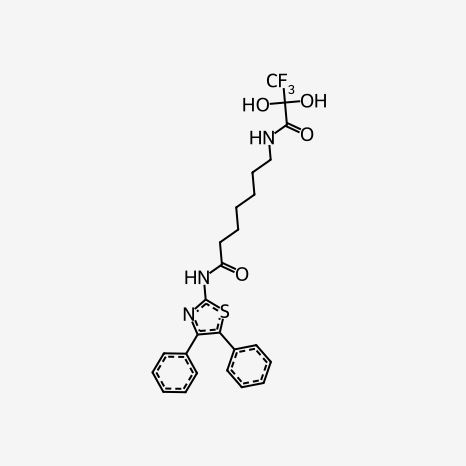 O=C(CCCCCCNC(=O)C(O)(O)C(F)(F)F)Nc1nc(-c2ccccc2)c(-c2ccccc2)s1